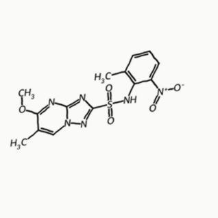 COc1nc2nc(S(=O)(=O)Nc3c(C)cccc3[N+](=O)[O-])nn2cc1C